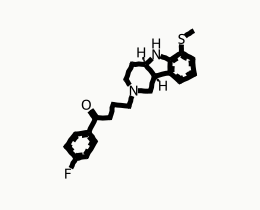 CSc1cccc2c1N[C@@H]1CCN(CCCC(=O)c3ccc(F)cc3)C[C@H]21